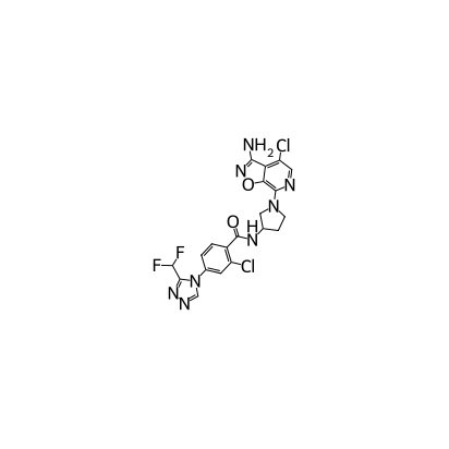 Nc1noc2c(N3CCC(NC(=O)c4ccc(-n5cnnc5C(F)F)cc4Cl)C3)ncc(Cl)c12